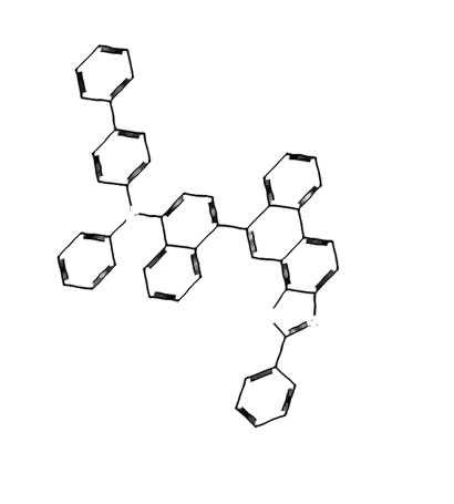 c1ccc(-c2ccc(N(c3ccccc3)c3ccc(-c4cc5c(ccc6nc(-c7ccccc7)oc65)c5ccccc45)c4ccccc34)cc2)cc1